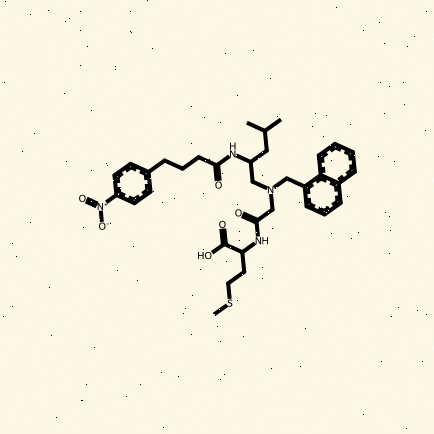 CSCCC(NC(=O)CN(Cc1cccc2ccccc12)CC(CC(C)C)NC(=O)CCCc1ccc([N+](=O)[O-])cc1)C(=O)O